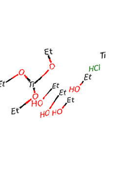 CCO.CCO.CCO.CCO.CC[O][Ti]([O]CC)[O]CC.Cl.[Ti]